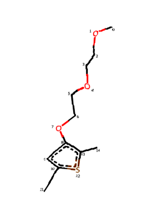 COCCOCCOc1cc(C)sc1C